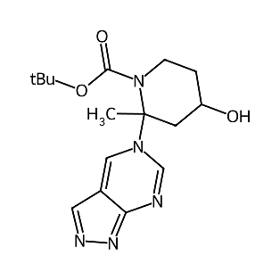 CC(C)(C)OC(=O)N1CCC(O)CC1(C)n1cnc2nncc-2c1